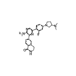 CN(C)C1CCN(c2ccc(-c3cnc(N)c(-c4ccc5c(c4)CCNC5=O)n3)c(F)c2)C1